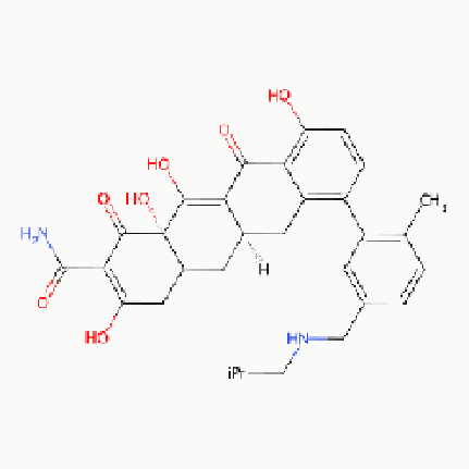 Cc1ccc(CNCC(C)C)cc1-c1ccc(O)c2c1C[C@H]1CC3CC(O)=C(C(N)=O)C(=O)[C@@]3(O)C(O)=C1C2=O